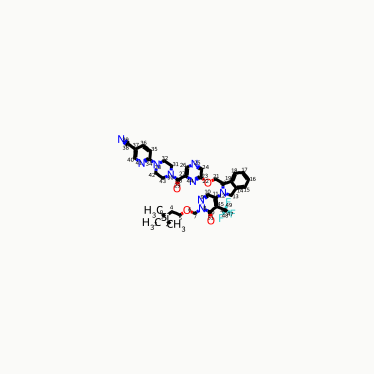 C[Si](C)(C)CCOCn1ncc(N2Cc3ccccc3C2COc2cncc(C(=O)N3CCN(c4ccc(C#N)cn4)CC3)n2)c(C(F)(F)F)c1=O